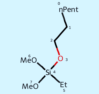 CCCCCCCO[Si](CC)(OC)OC